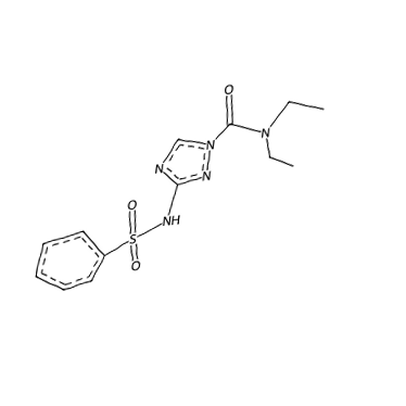 CCN(CC)C(=O)n1cnc(NS(=O)(=O)c2ccccc2)n1